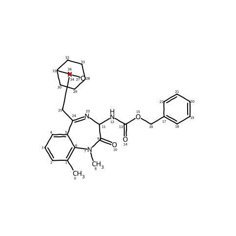 Cc1cccc2c1N(C)C(=O)C(NC(=O)OCc1ccccc1)N=C2CN1CC2CCC(CC2)C1